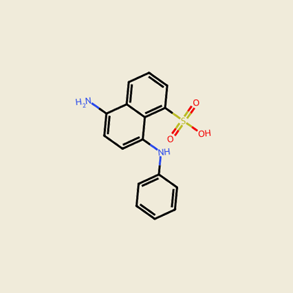 Nc1ccc(Nc2ccccc2)c2c(S(=O)(=O)O)cccc12